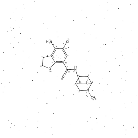 CN1CC2CCC1CC2NC(=O)c1cc(Cl)c(N)c2c1OCC2